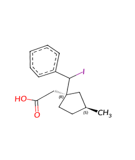 C[C@H]1CC[C@@](CC(=O)O)(C(I)c2ccccc2)C1